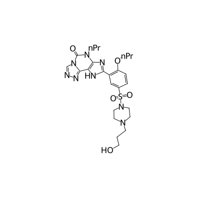 CCCOc1ccc(S(=O)(=O)N2CCN(CCCO)CC2)cc1-c1nc2c([nH]1)c1nncn1c(=O)n2CCC